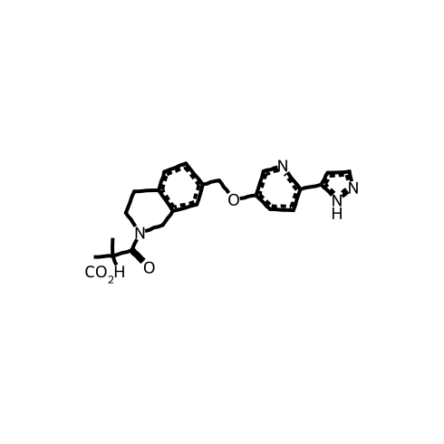 CC(C)(C(=O)O)C(=O)N1CCc2ccc(COc3ccc(-c4ccn[nH]4)nc3)cc2C1